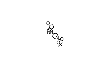 CC(C)(C)OC(=O)N1CCC(n2ncc3c2CCC3=O)CC1